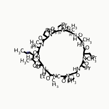 C/C=C/C[C@@H](C)C(O)[C@H]1C(=O)N[C@@H](CC)C(=O)N(C)CC(=O)N(C)[C@@H](CC(C)C)C(=O)NC(C(C)C)C(=O)N(C)C(CC(C)C)C(=O)N[C@@H](C)C(=O)N[C@H](C)C(=O)N(C)[C@@H](CC(C)C)C(=O)N(C)C(CC(C)C)C(=O)N(C)C(C(C)C)C(=O)N1C